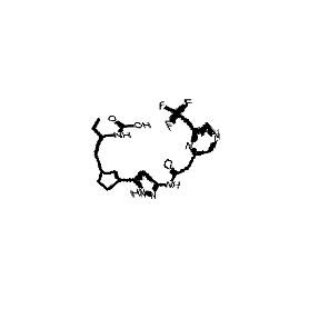 CCC(CC1CCC(c2cc(NC(=O)Cc3cncc(C(F)(F)F)n3)n[nH]2)C1)NC(=O)O